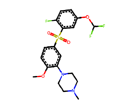 COc1ccc(S(=O)(=O)c2cc(OC(F)F)ccc2F)cc1N1CCN(C)CC1